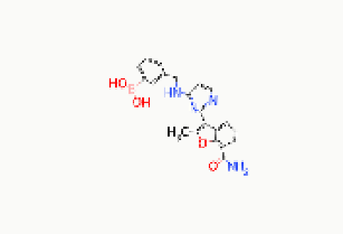 Cc1oc2c(C(N)=O)cccc2c1-c1nccc(NCc2cccc(B(O)O)c2)n1